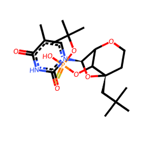 Cc1cn([C@@H]2O[C@@]3(CC(C)(C)C)CCOC2C3OP(O)(=S)OC(C)(C)C)c(=O)[nH]c1=O